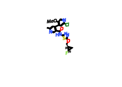 COc1cnc(Cl)cc1-c1cc(C)ncc1C(=O)Nc1nnc(OC[C@@H]2C[C@H]2F)s1